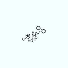 O=C(NC(C(=O)O)C1CC(Cl)=NO1)OCC1c2ccccc2-c2ccccc21